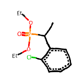 CCOP(=O)(OCC)C(C)c1ccccc1Cl